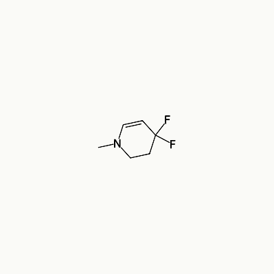 CN1C=CC(F)(F)CC1